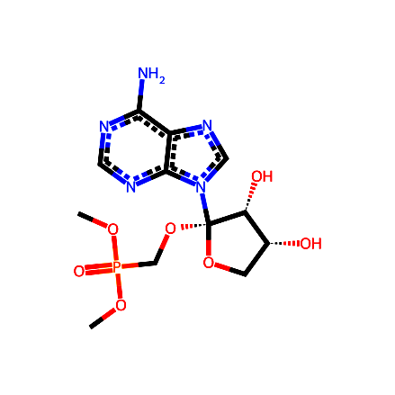 COP(=O)(CO[C@@]1(n2cnc3c(N)ncnc32)OC[C@@H](O)[C@H]1O)OC